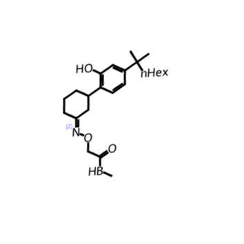 CBC(=O)CO/N=C1/CCCC(c2ccc(C(C)(C)CCCCCC)cc2O)C1